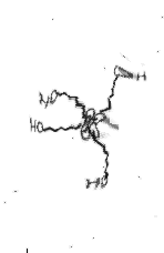 OCCCCCCCC[O][Zr]([O]CCCCCCCCO)([O]CCCCCCCCO)[O]CCCCCCCCO